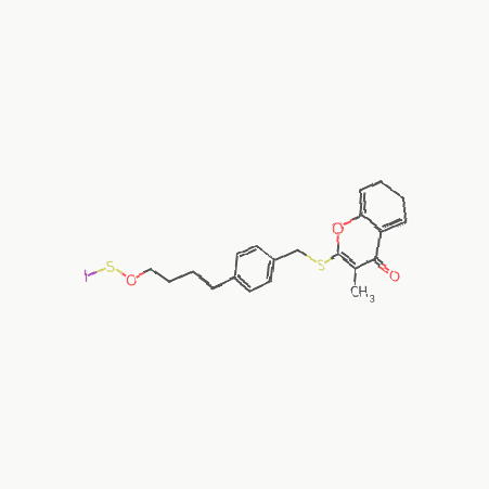 Cc1c(SCc2ccc(CCCCOSI)cc2)oc2c(c1=O)=CCCC=2